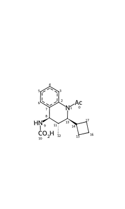 CC(=O)N1c2ccccc2[C@H](NC(=O)O)[C@@H](C)[C@@H]1C1CCC1